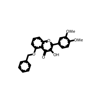 COc1ccc(-c2oc3cccc(OCc4ccccc4)c3c(=O)c2O)cc1OC